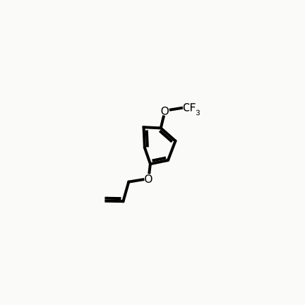 C=CCOc1ccc(OC(F)(F)F)cc1